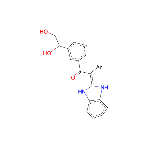 CC(=O)C(C(=O)c1cccc(C(O)CO)c1)=C1Nc2ccccc2N1